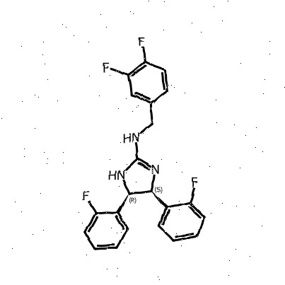 Fc1ccc(CNC2=N[C@@H](c3ccccc3F)[C@@H](c3ccccc3F)N2)cc1F